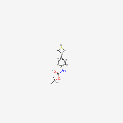 CC(C)(C)OC(=O)Nc1ccc(C2CSC2)cc1